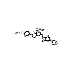 COc1ccc(C2CCc3cc(Cn4cnc5cc(N6CCOCC6)cnc54)cc(OC)c3O2)cn1